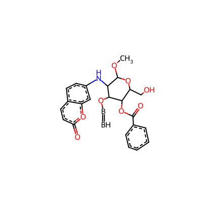 B=BOC1C(Nc2ccc3ccc(=O)oc3c2)C(OC)OC(CO)C1OC(=O)c1ccccc1